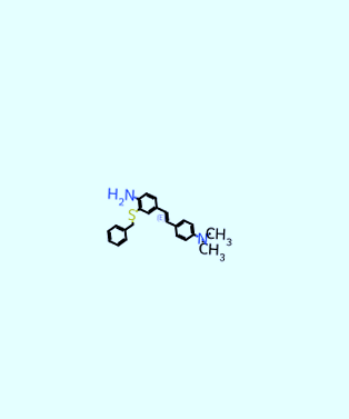 CN(C)c1ccc(/C=C/c2ccc(N)c(SCc3ccccc3)c2)cc1